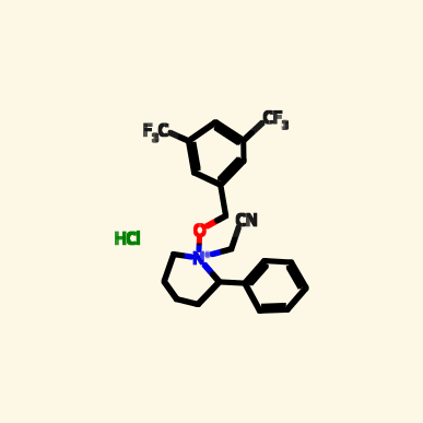 Cl.N#CC[N+]1(OCc2cc(C(F)(F)F)cc(C(F)(F)F)c2)CCCCC1c1ccccc1